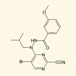 COc1cccc(C(=O)NN(CC(C)C)c2nc(C#N)ncc2Br)c1